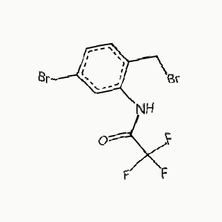 O=C(Nc1cc(Br)ccc1CBr)C(F)(F)F